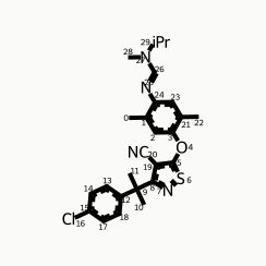 Cc1cc(Oc2snc(C(C)(C)c3ccc(Cl)cc3)c2C#N)c(C)cc1N=CN(C)C(C)C